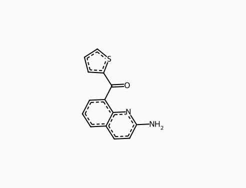 Nc1ccc2cccc(C(=O)c3cccs3)c2n1